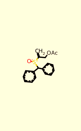 C=C(COC(C)=O)[S+]([O-])C(c1ccccc1)c1ccccc1